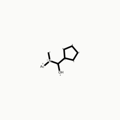 CC(=O)N(C)C(O)C1CCCC1